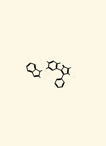 CC1=Cc2ccccc2C1[Si](C)(C)c1cc2c(cc1C)N=C1C(C)=C(C)C(c3ccccc3)=C12